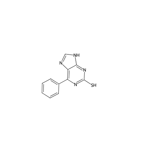 Sc1nc(-c2ccccc2)c2nc[nH]c2n1